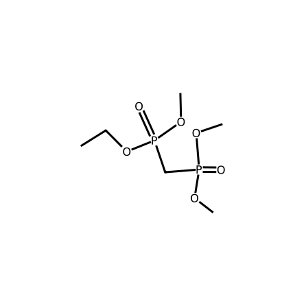 CCOP(=O)(CP(=O)(OC)OC)OC